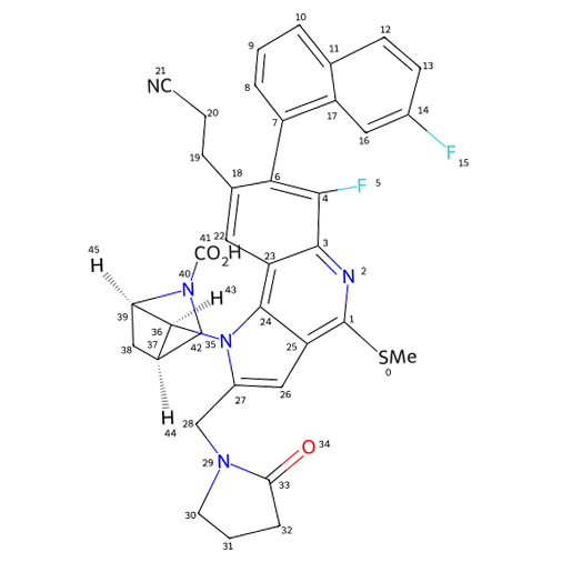 CSc1nc2c(F)c(-c3cccc4ccc(F)cc34)c(CCC#N)cc2c2c1cc(CN1CCCC1=O)n2[C@H]1[C@@H]2C[C@H]1N(C(=O)O)C2